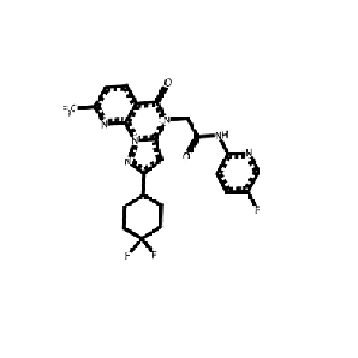 O=C(Cn1c(=O)c2ccc(C(F)(F)F)nc2n2nc(C3CCC(F)(F)CC3)cc12)Nc1ccc(F)cn1